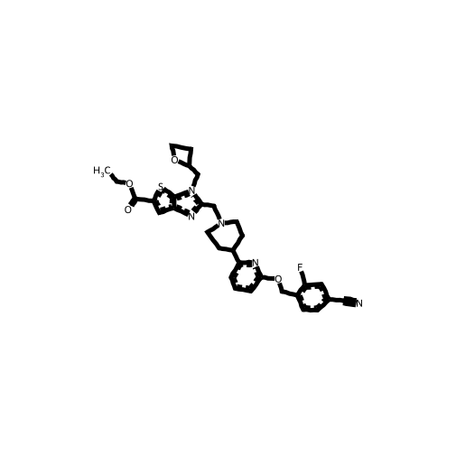 CCOC(=O)c1cc2nc(CN3CCC(c4cccc(OCc5ccc(C#N)cc5F)n4)CC3)n(CC3CCO3)c2s1